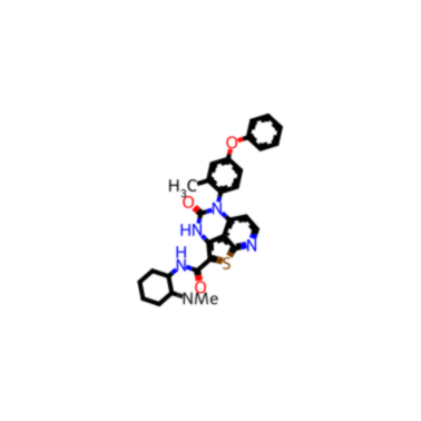 CNC1CCCCC1NC(=O)c1sc2nccc3c2c1NC(=O)N3c1ccc(Oc2ccccc2)cc1C